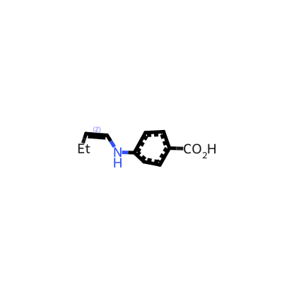 CC/C=C\Nc1ccc(C(=O)O)cc1